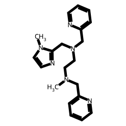 CN(CCN(Cc1ccccn1)Cc1nccn1C)Cc1ccccn1